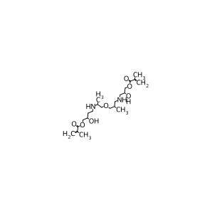 C=C(C)C(=O)OCC(O)CCNC(C)COCC(C)CNCC(O)COC(=O)C(=C)C